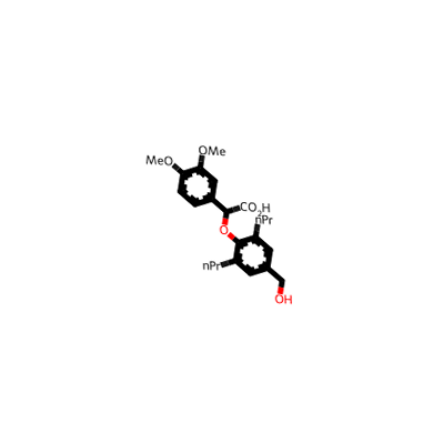 CCCc1cc(CO)cc(CCC)c1OC(C(=O)O)c1ccc(OC)c(OC)c1